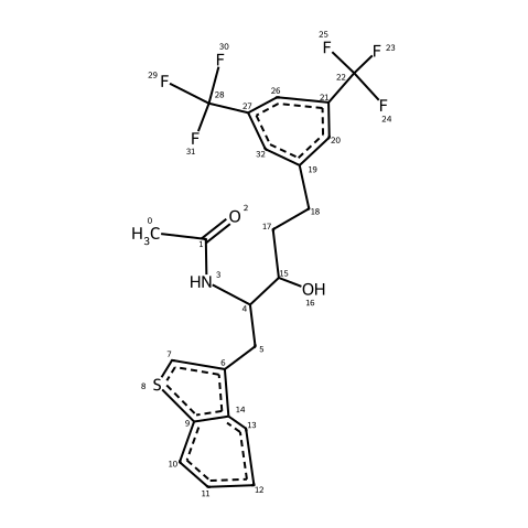 CC(=O)NC(Cc1csc2ccccc12)C(O)CCc1cc(C(F)(F)F)cc(C(F)(F)F)c1